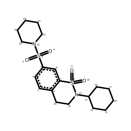 O=S(=O)(c1ccc2c(c1)S(=O)(=O)N(C1CCCCC1)CC2)N1CCCCC1